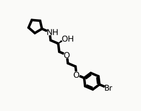 O[C@H](CNC1CCCC1)COCCOc1ccc(Br)cc1